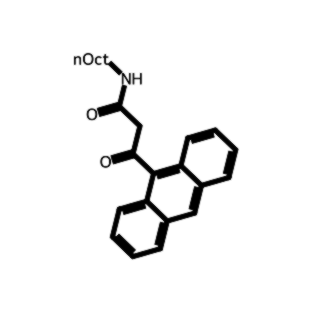 CCCCCCCCNC(=O)CC(=O)c1c2ccccc2cc2ccccc12